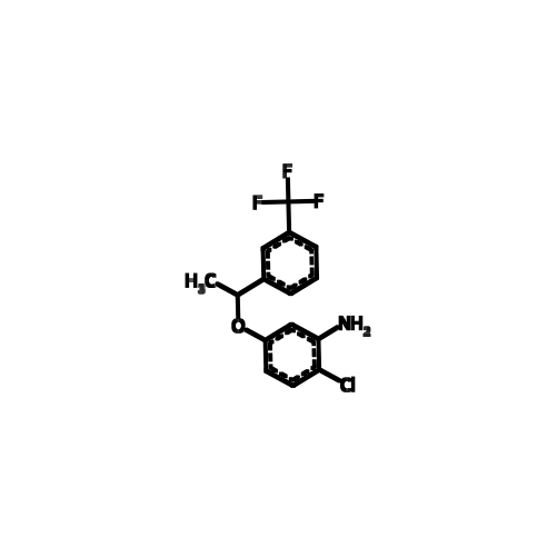 CC(Oc1ccc(Cl)c(N)c1)c1cccc(C(F)(F)F)c1